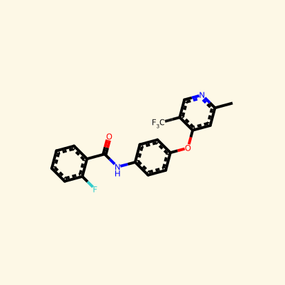 Cc1cc(Oc2ccc(NC(=O)c3ccccc3F)cc2)c(C(F)(F)F)cn1